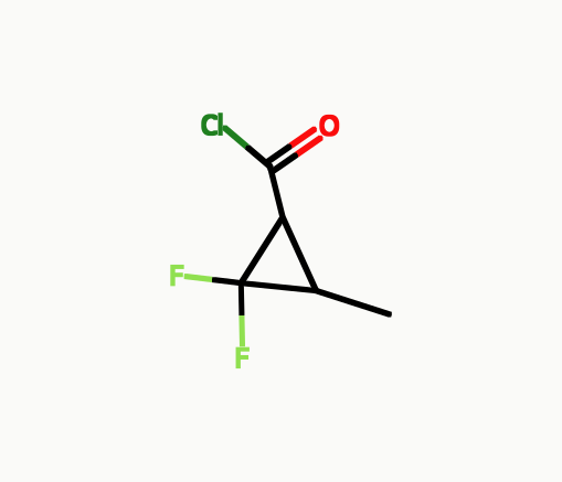 CC1C(C(=O)Cl)C1(F)F